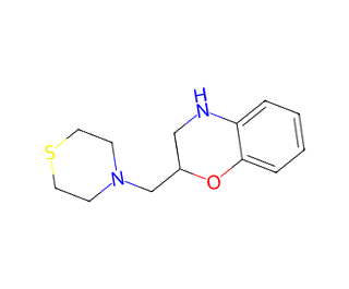 c1ccc2c(c1)NCC(CN1CCSCC1)O2